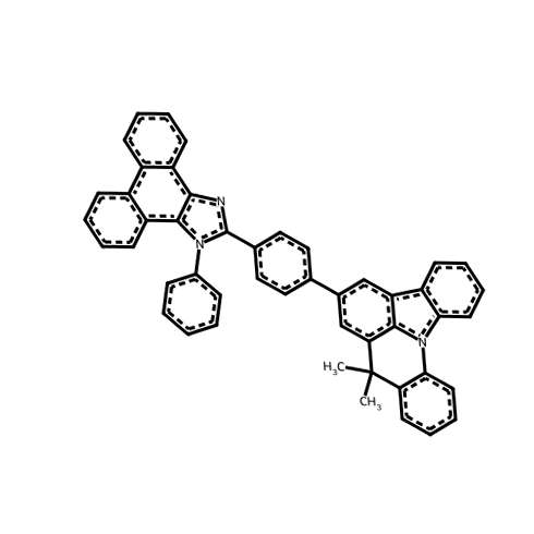 CC1(C)c2ccccc2-n2c3ccccc3c3cc(-c4ccc(-c5nc6c7ccccc7c7ccccc7c6n5-c5ccccc5)cc4)cc1c32